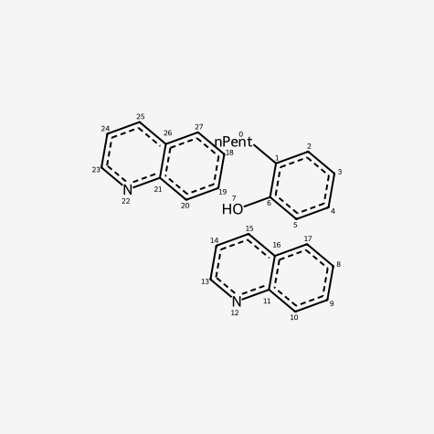 CCCCCc1ccccc1O.c1ccc2ncccc2c1.c1ccc2ncccc2c1